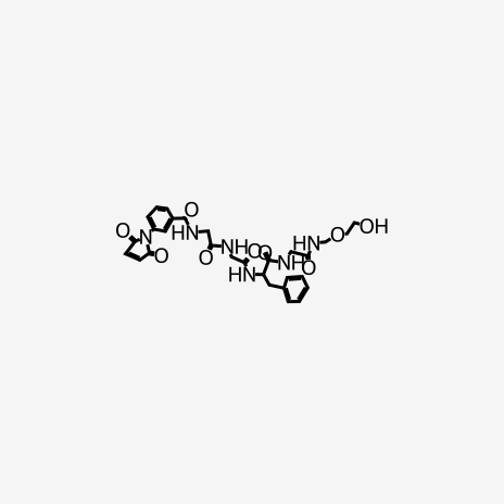 O=C(CNC(=O)c1cccc(N2C(=O)C=CC2=O)c1)NCC(=O)NC(Cc1ccccc1)C(=O)NCC(=O)NCOCCO